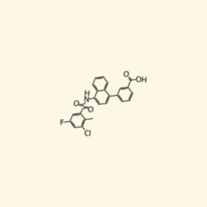 Cc1c(Cl)cc(F)cc1S(=O)(=O)Nc1ccc(-c2cccc(C(=O)O)c2)c2ccccc12